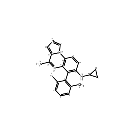 Cc1cccc(Cl)c1-c1c(NC2CC2)ccc2c1nc(N)c1cncn12